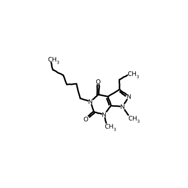 CCCCCCn1c(=O)c2c(CC)nn(C)c2n(C)c1=O